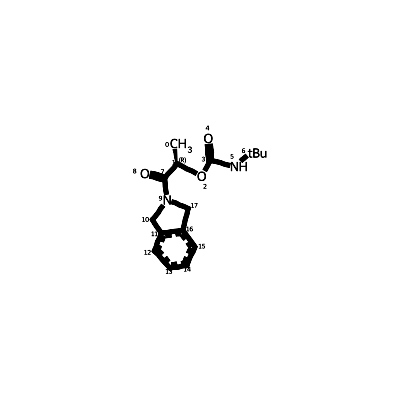 C[C@@H](OC(=O)NC(C)(C)C)C(=O)N1Cc2ccccc2C1